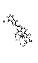 C[C@@H]1CNC[C@](C)(C(=O)N2CCc3cc(C4=CC5=CCCN(C)C5=N4)cc([C@@H]4COCCN4)c3C2)O1